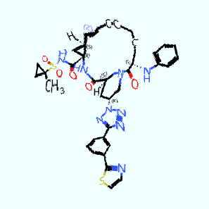 CC1(S(=O)(=O)NC(=O)[C@@]23C[C@H]2/C=C\CCCCC[C@H](Nc2ccccc2)C(=O)N2C[C@H](n4nnc(-c5cccc(-c6nccs6)c5)n4)C[C@H]2C(=O)N3)CC1